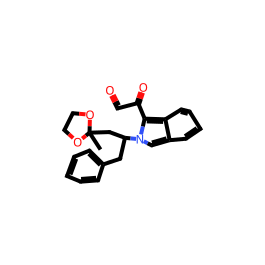 CC1(CC(Cc2ccccc2)n2cc3ccccc3c2C(=O)C=O)OCCO1